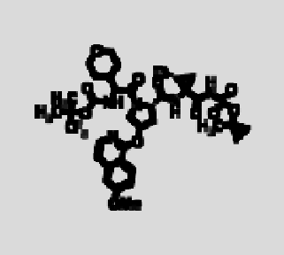 CC[C@@H]1C[C@]1(NC(=O)[C@@H]1CC(Oc2nccc3cc(OC)ccc23)CN1C(=O)[C@@H](NC(=O)OC(C)(C)C(F)(F)F)C1CCOCC1)C(=O)NS(=O)(=O)OC1(C)CC1